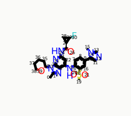 Cc1nc2c(Nc3ccc(-c4cncn4C)cc3S(C)(=O)=O)cc(NC(=O)[C@H]3C[C@H]3F)nc2n1C1CCCCO1